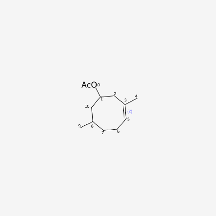 CC(=O)OC1C/C(C)=C\CCC(C)C1